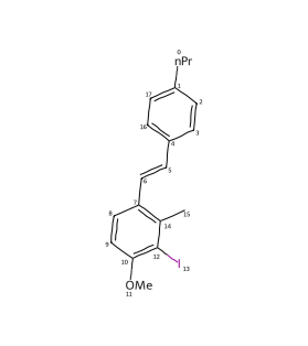 CCCc1ccc(C=Cc2ccc(OC)c(I)c2C)cc1